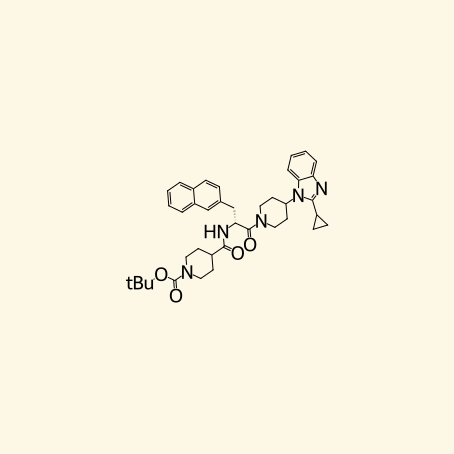 CC(C)(C)OC(=O)N1CCC(C(=O)N[C@H](Cc2ccc3ccccc3c2)C(=O)N2CCC(n3c(C4CC4)nc4ccccc43)CC2)CC1